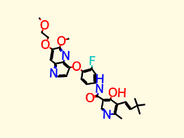 COCCOc1cc2nccc(Oc3ccc(NC(=O)c4cnc(C)c(/C=C/C(C)(C)C)c4O)cc3F)c2nc1OC